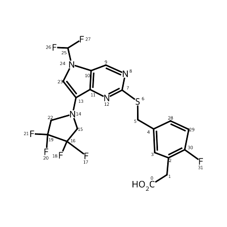 O=C(O)Cc1cc(CSc2ncc3c(n2)c(N2CC(F)(F)C(F)(F)C2)cn3C(F)F)ccc1F